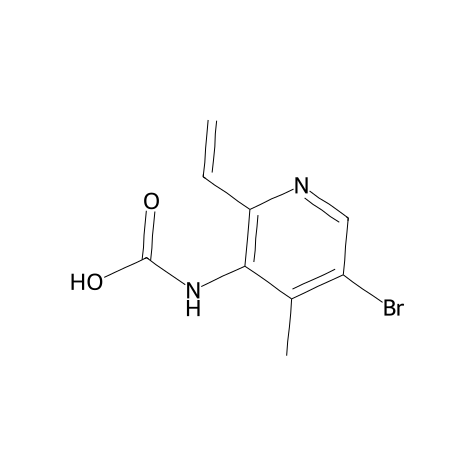 C=Cc1ncc(Br)c(C)c1NC(=O)O